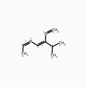 C=N/C(=C\N=C/C)C(C)C